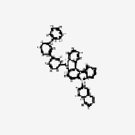 C1=CC2=CC(n3c4ccccc4c4c5c(ccc43)N(C3C=C(C4=CC(c6ccccc6)CCC4)C=CC3)C3C=CC=CC53)=CCC2C=C1